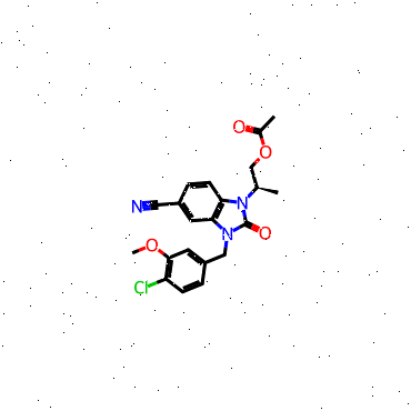 COc1cc(Cn2c(=O)n([C@H](C)COC(C)=O)c3ccc(C#N)cc32)ccc1Cl